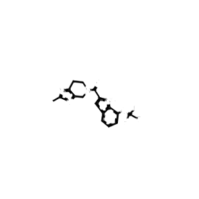 Cc1nc2c(s1)CN(C(=O)c1cc3cccc(OC(F)(F)F)c3[nH]1)CC2